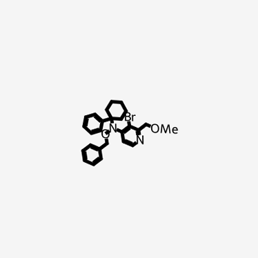 COCc1nccc(N(OCc2ccccc2)C2(c3ccccc3)CCCCC2)c1Br